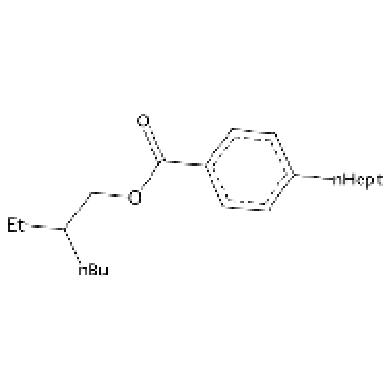 CCCCCCCc1ccc(C(=O)OCC(CC)CCCC)cc1